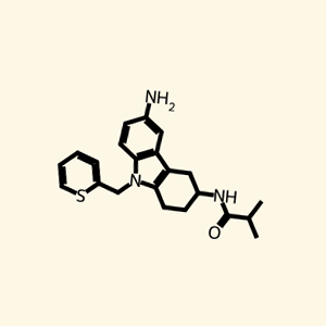 CC(C)C(=O)NC1CCc2c(c3cc(N)ccc3n2CC2=C=CC=CS2)C1